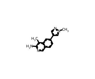 Cc1c(N)ncc2ccc(-c3cnn(C)c3)cc12